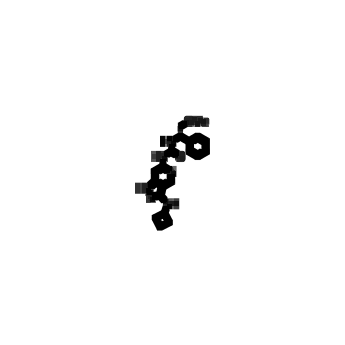 COC[C@@H](NC(=O)Nc1cc2[nH]nc(NC3CCC3)c2cn1)c1ccccc1